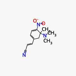 CN(C)C1(C)CC(C=CC#N)=CC=C1[N+](=O)[O-]